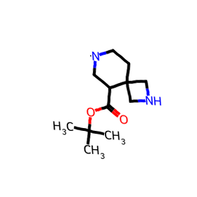 CC(C)(C)OC(=O)C1C[N]CCC12CNC2